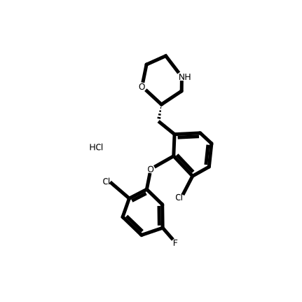 Cl.Fc1ccc(Cl)c(Oc2c(Cl)cccc2C[C@H]2CNCCO2)c1